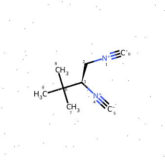 [C-]#[N+]C[C@@H]([N+]#[C-])C(C)(C)C